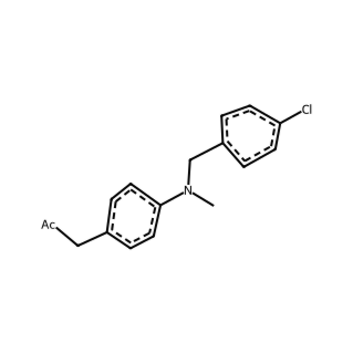 CC(=O)Cc1ccc(N(C)Cc2ccc(Cl)cc2)cc1